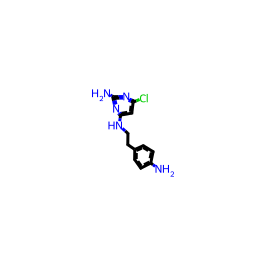 Nc1ccc(CCNc2cc(Cl)nc(N)n2)cc1